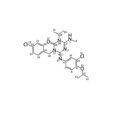 CNc1n/c(=N\c2ccc(OC(C)C)c(Cl)c2)n(Cc2ccc(Cl)cc2)c(=O)n1C(C)C